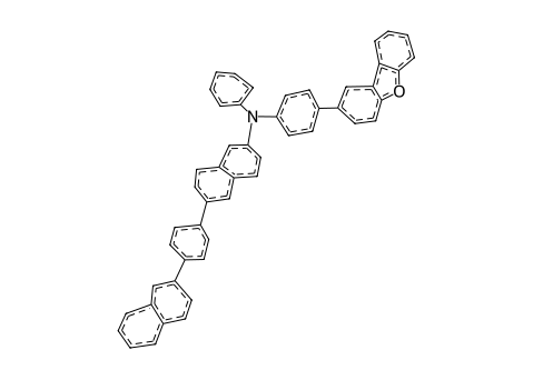 c1ccc(N(c2ccc(-c3ccc4oc5ccccc5c4c3)cc2)c2ccc3cc(-c4ccc(-c5ccc6ccccc6c5)cc4)ccc3c2)cc1